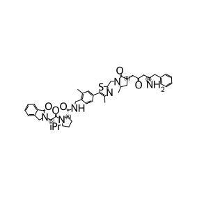 Cc1cc(-c2sc(CN3C(=O)[C@@H](CC(=O)C[C@H](N)Cc4ccccc4)CC3C)nc2C)ccc1CNC(=O)[C@@H]1CCCN1C(=O)[C@H](C(C)C)N1Cc2ccccc2C1=O